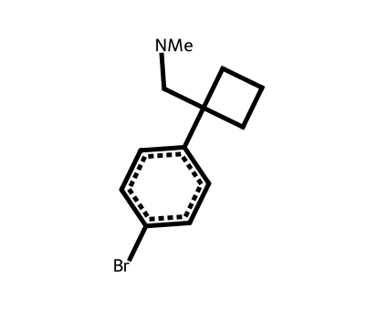 CNCC1(c2ccc(Br)cc2)CCC1